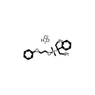 CC(C)CC(CC(C)C)(c1ccccc1)[N+](C)(C)OCCOc1ccccc1.O.[Cl-]